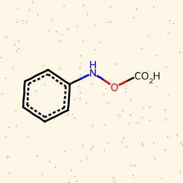 O=C(O)ONc1ccccc1